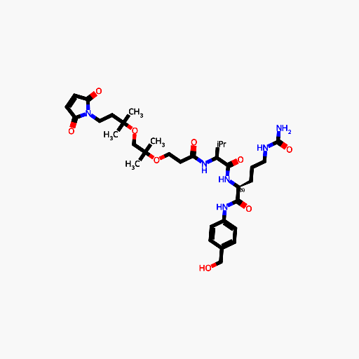 CC(C)C(NC(=O)CCOC(C)(C)COC(C)(C)CCN1C(=O)C=CC1=O)C(=O)N[C@@H](CCCNC(N)=O)C(=O)Nc1ccc(CO)cc1